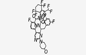 NC(=O)c1cc(-c2cnc(N3CCC(=O)CC3)nc2C(Cc2cc(F)cc(F)c2)NC(=O)Cn2nc(C(F)F)c3c2C(F)(F)CCC3(F)F)ccc1F